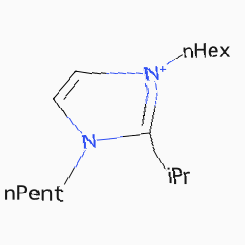 CCCCCC[n+]1ccn(CCCCC)c1C(C)C